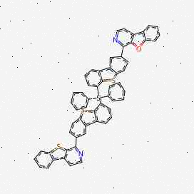 c1ccc([Si](c2ccccc2)(c2cccc3c2sc2ccc(-c4nccc5c4oc4ccccc45)cc23)c2cccc3c2sc2ccc(-c4nccc5c4sc4ccccc45)cc23)cc1